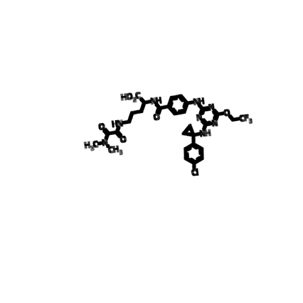 CN(C)C(=O)C(=O)NCCCC(NC(=O)c1ccc(Nc2nc(NC3(c4ccc(Cl)cc4)CC3)nc(OCC(F)(F)F)n2)cc1)C(=O)O